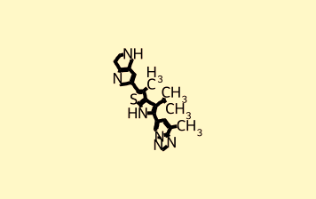 Cc1c(-c2cnc3c(c2)CNCC3)sc2[nH]c(-c3cc(C)c4ncnn4c3)c(C(C)C)c12